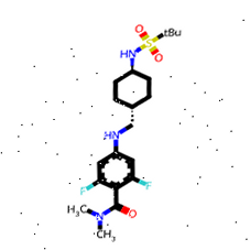 CN(C)C(=O)c1c(F)cc(NC[C@H]2CC[C@H](NS(=O)(=O)C(C)(C)C)CC2)cc1F